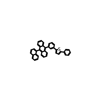 c1ccc(-c2ccc(-c3cccc(-c4c5ccccc5c(-c5cccc6ccccc56)c5ccccc45)c3)s2)cc1